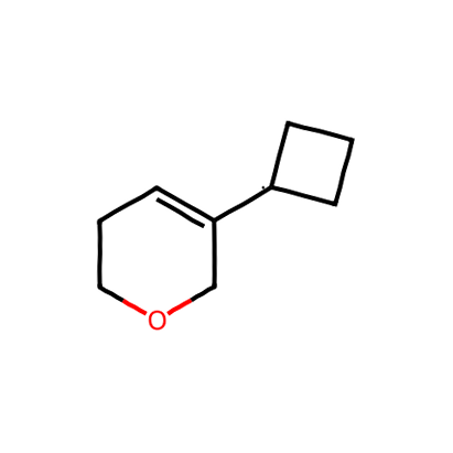 C1=C([C]2CCC2)COCC1